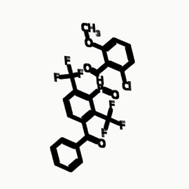 COc1cccc(Cl)c1C(=O)[PH](=O)c1c(C(F)(F)F)ccc(C(=O)c2ccccc2)c1C(F)(F)F